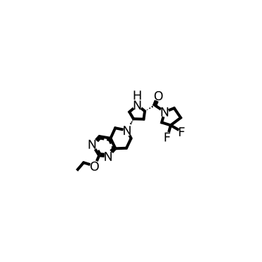 CCOc1ncc2c(n1)CCN([C@@H]1CN[C@H](C(=O)N3CCC(F)(F)C3)C1)C2